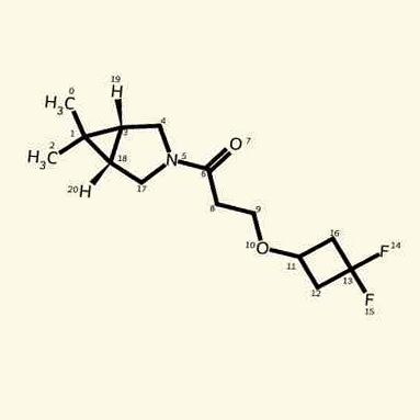 CC1(C)[C@@H]2CN(C(=O)CCOC3CC(F)(F)C3)C[C@@H]21